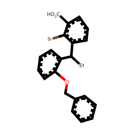 CCC(c1ccccc1OCc1ccccc1)c1cccc(C(=O)O)c1Br